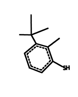 Cc1c(S)cccc1C(C)(C)C